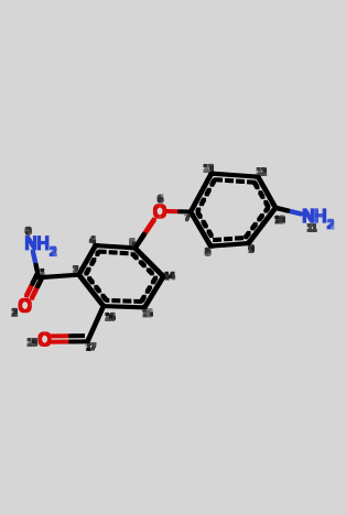 NC(=O)c1cc(Oc2ccc(N)cc2)ccc1C=O